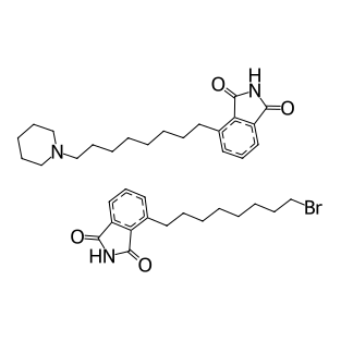 O=C1NC(=O)c2c(CCCCCCCCBr)cccc21.O=C1NC(=O)c2c(CCCCCCCCN3CCCCC3)cccc21